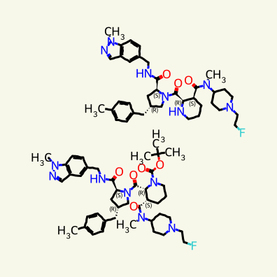 Cc1ccc(C[C@@H]2C[C@@H](C(=O)NCc3ccc4c(cnn4C)c3)N(C(=O)[C@@H]3NCCC[C@@H]3C(=O)N(C)C3CCN(CCF)CC3)C2)cc1.Cc1ccc(C[C@@H]2C[C@@H](C(=O)NCc3ccc4c(cnn4C)c3)N(C(=O)[C@H]3[C@@H](C(=O)N(C)C4CCN(CCF)CC4)CCCN3C(=O)OC(C)(C)C)C2)cc1